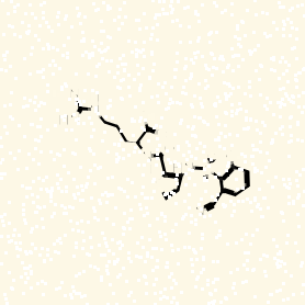 Cc1cccc(C#N)c1S(=O)(=O)Nc1ccsc1C(=O)N[C@@H](CCCNC(=N)N)C(=O)O